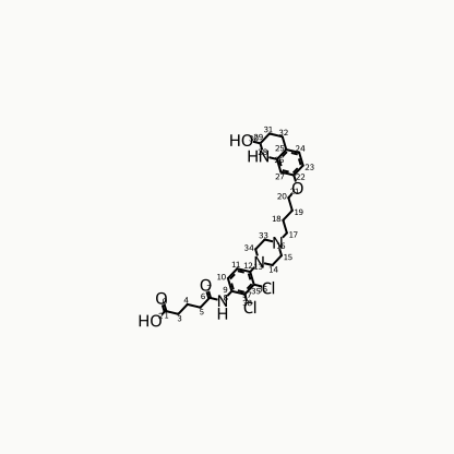 O=C(O)CCCC(=O)Nc1ccc(N2CCN(CCCCOc3ccc4c(c3)NC(O)CC4)CC2)c(Cl)c1Cl